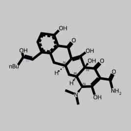 CCCC/C(O)=C/c1ccc(O)c2c1C[C@@H]1C[C@@H]3[C@H](N(C)C)C(O)=C(C(N)=O)C(=O)[C@@]3(O)C(O)=C1C2=O